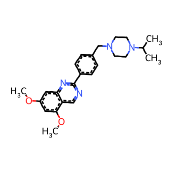 COc1cc(OC)c2cnc(-c3ccc(CN4CCN(C(C)C)CC4)cc3)nc2c1